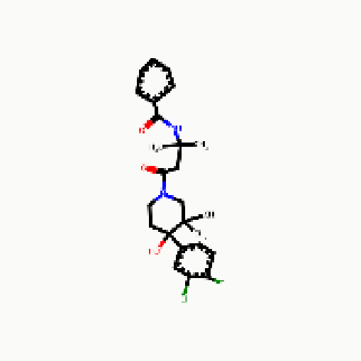 CC(C)(CC(=O)N1CCC(O)(c2ccc(F)c(Cl)c2)C(C)(C)C1)NC(=O)c1ccccc1